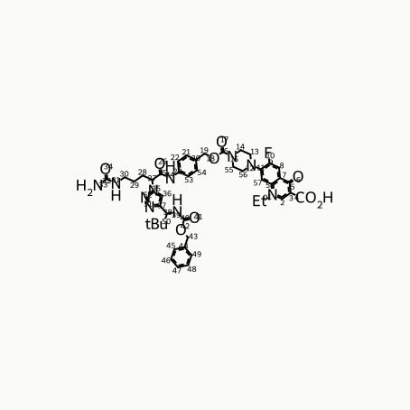 CCn1cc(C(=O)O)c(=O)c2cc(F)c(N3CCN(C(=O)OCc4ccc(NC(=O)C(CCCNC(N)=O)n5cc(C(NC(=O)OCc6ccccc6)C(C)(C)C)nn5)cc4)CC3)cc21